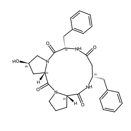 O=C1C[C@H](Cc2ccccc2)NC(=O)[C@@H]2CCCN2C(=O)[C@@H]2C[C@@H](O)CN2C(=O)[C@H](Cc2ccccc2)N1